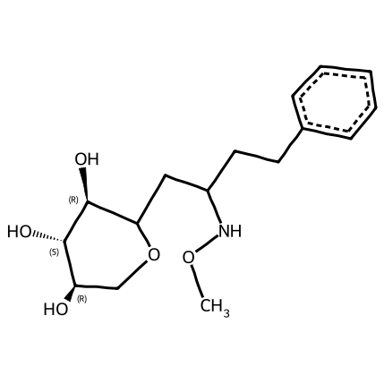 CONC(CCc1ccccc1)CC1OC[C@@H](O)[C@H](O)[C@H]1O